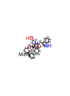 COc1ccccc1C(OCC1CC(O)CN1C(=O)Cc1c[nH]c2ccccc12)(c1ccccc1)c1ccccc1OC